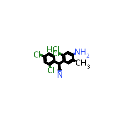 Cc1cc(C(C#N)c2ccc(Cl)cc2Cl)c(Cl)cc1N.Cl